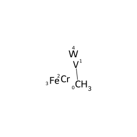 [CH3][V].[Cr].[Fe].[W]